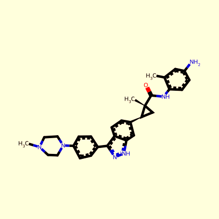 Cc1cc(N)ccc1NC(=O)[C@]1(C)C[C@H]1c1ccc2c(-c3ccc(N4CCN(C)CC4)cc3)n[nH]c2c1